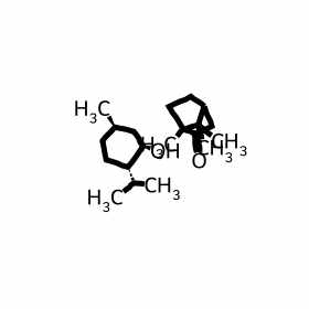 CC(C)[C@@H]1CC[C@@H](C)C[C@H]1O.CC12CCC(CC1=O)C2(C)C